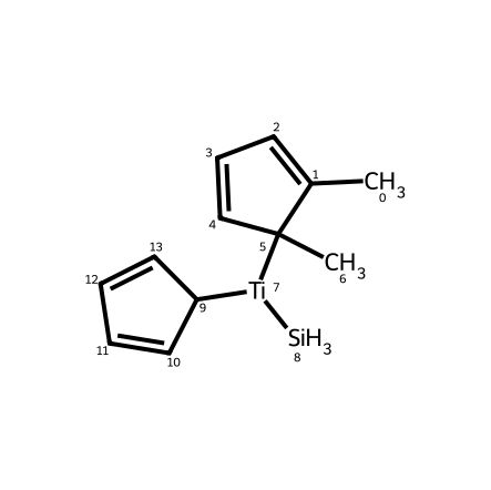 CC1=CC=C[C]1(C)[Ti]([SiH3])[CH]1C=CC=C1